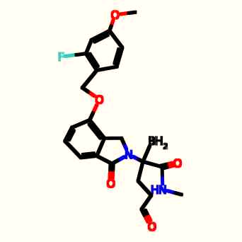 BC(CCC=O)(C(=O)NC)N1Cc2c(OCc3ccc(OC)cc3F)cccc2C1=O